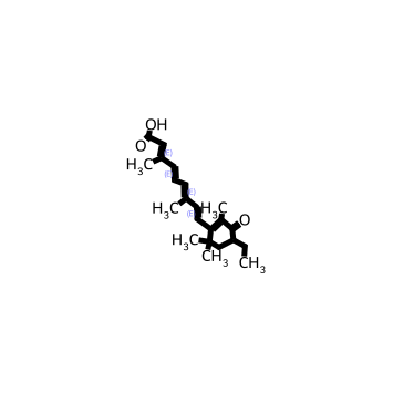 CCC1CC(C)(C)C(/C=C/C(C)=C/C=C/C(C)=C/C(=O)O)=C(C)C1=O